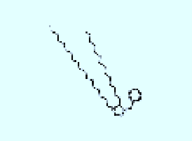 CCCCCCCCCCCCCCCCCCN1C=CN(Cc2ccccc2)C1CCCCCCCCCCCCCC